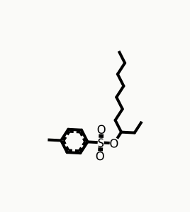 CCCCCCCC(CC)OS(=O)(=O)c1ccc(C)cc1